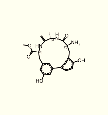 C=C1N[C@H](C(=O)OC)Cc2cc(O)cc(c2)-c2ccc(O)c(c2)C[C@H](N)C(=O)N[C@H]1C